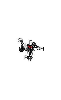 Cc1c(-c2cc(O)cc3ccc(F)c(-c4cn(C)nn4)c23)oc(=O)c2c(NCc3cn(COCC[Si](C)(C)C)c4ncccc34)nc(OC[C@@]34CCCN3C[C@H](F)C4)nc12